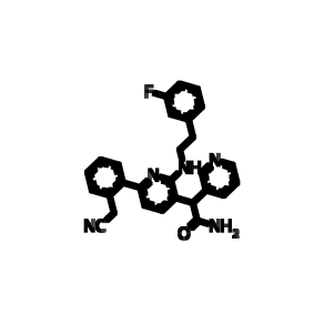 N#CCc1ccccc1-c1ccc(C(C(N)=O)c2cccnc2)c(NCCc2cccc(F)c2)n1